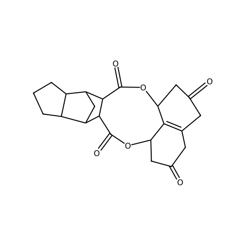 O=C1CC2=C3C(C1)OC(=O)C1C4CC(C5CCCC54)C1C(=O)OC3CC(=O)C2